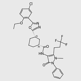 CCOc1ccc(Cl)cc1-c1nnc([C@H]2CCC[C@@H](C(=O)Nc3c(CCC(F)(F)F)n(C)n(-c4ccccc4)c3=O)C2)o1